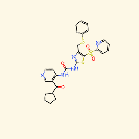 O=C(Nc1nc(CSc2ccccc2)c(S(=O)(=O)c2ccccn2)s1)Nc1ccncc1C(=O)C1CCCC1